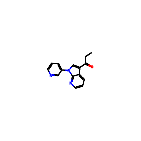 CCC(=O)c1cn(-c2cccnc2)c2ncccc12